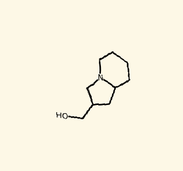 OCC1CC2CCCCN2C1